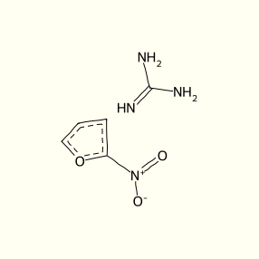 N=C(N)N.O=[N+]([O-])c1ccco1